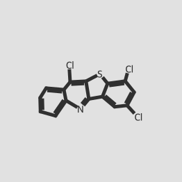 Clc1cc(Cl)c2sc3c(Cl)c4ccccc4nc3c2c1